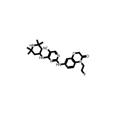 CC1(C)CC(Nc2nc(Nc3ccc4c(c3)OCC(=O)N4CCF)ncc2C#N)CC(C)(C)N1